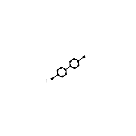 C#Cc1ccc(-c2ccc(C#C)cc2)cc1